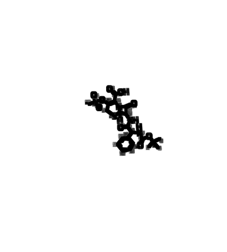 CC(C)(C)OC(=O)NC(C(=O)NC1C(=O)N2C(C(=O)O)=C(OS(C)(=O)=O)CS[C@@H]12)c1ccccc1